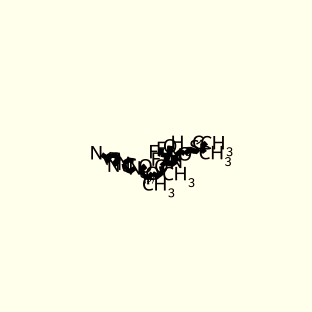 CC(CO[C@@H](C)CC(=O)N1CCN(c2ccc(C#N)cn2)CC1)Oc1cnn(COCC[Si](C)(C)C)c(=O)c1C(F)(F)F